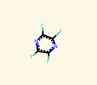 Fc1nc(F)c(F)nc1F